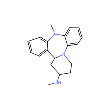 CNC1CCN2c3ccccc3N(C)c3ccccc3C2C1